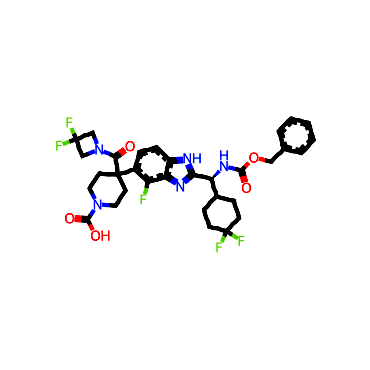 O=C(N[C@H](c1nc2c(F)c(C3(C(=O)N4CC(F)(F)C4)CCN(C(=O)O)CC3)ccc2[nH]1)C1CCC(F)(F)CC1)OCc1ccccc1